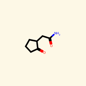 NC(=O)CC1CCCC1=O